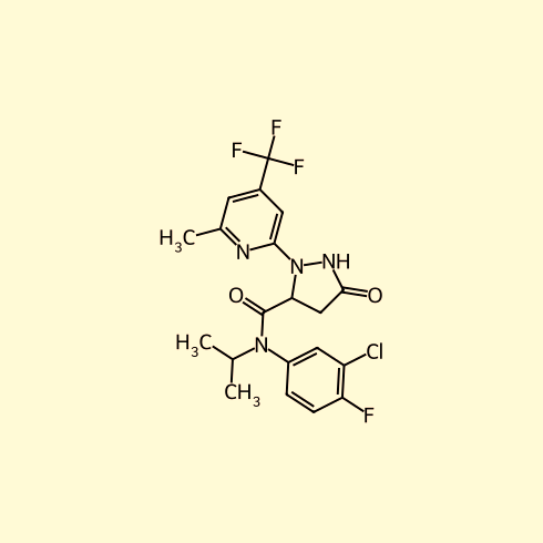 Cc1cc(C(F)(F)F)cc(N2NC(=O)CC2C(=O)N(c2ccc(F)c(Cl)c2)C(C)C)n1